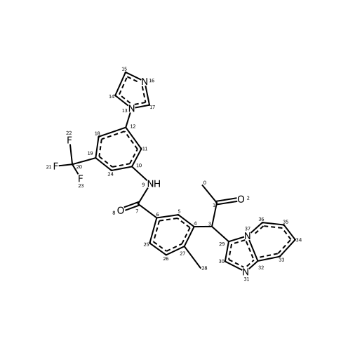 CC(=O)C(c1cc(C(=O)Nc2cc(-n3ccnc3)cc(C(F)(F)F)c2)ccc1C)c1cnc2ccccn12